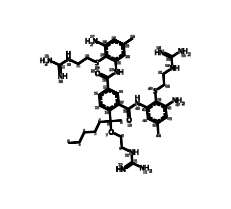 CCCCCC(C)(OCCNC(=N)N)c1ccc(C(=O)Nc2cc(C)cc(N)c2SCCNC(=N)N)cc1C(=O)Nc1cc(C)cc(N)c1SCCNC(=N)N